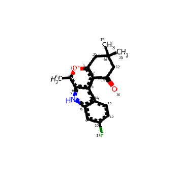 Cc1[o+]c2c(c3c1[nH]c1cc(F)ccc13)C(=O)CC(C)(C)C2